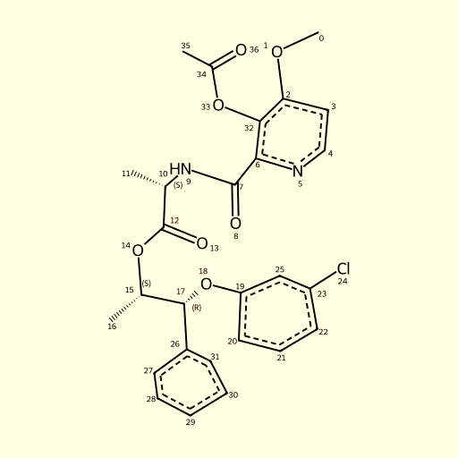 COc1ccnc(C(=O)N[C@@H](C)C(=O)O[C@@H](C)[C@H](Oc2cccc(Cl)c2)c2ccccc2)c1OC(C)=O